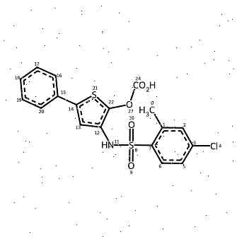 Cc1cc(Cl)ccc1S(=O)(=O)Nc1cc(-c2ccccc2)sc1OC(=O)O